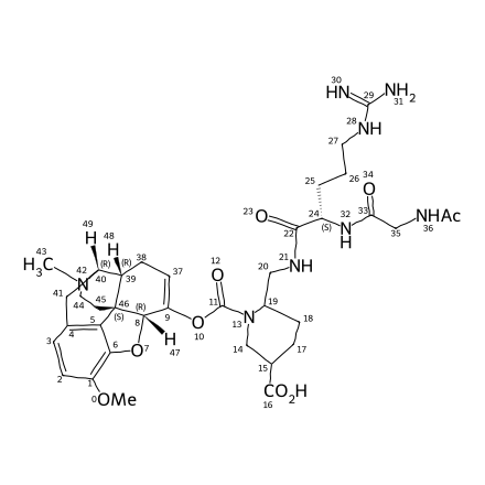 COc1ccc2c3c1O[C@H]1C(OC(=O)N4CC(C(=O)O)CCC4CNC(=O)[C@H](CCCNC(=N)N)NC(=O)CNC(C)=O)=CC[C@H]4[C@@H](C2)N(C)CC[C@]314